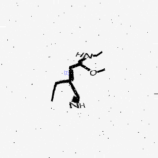 CC/C(C=N)=C/C(NC)OC